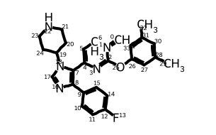 C=N/C(=N\C(=C/C)c1c(-c2ccc(F)cc2)ncn1C1CCNCC1)Oc1cc(C)cc(C)c1